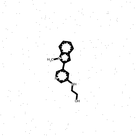 Cn1c(-c2cncc(NCCO)c2)cc2ccccc21